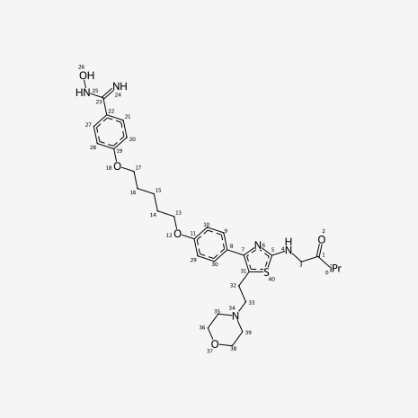 CC(C)C(=O)CNc1nc(-c2ccc(OCCCCCOc3ccc(C(=N)NO)cc3)cc2)c(CCN2CCOCC2)s1